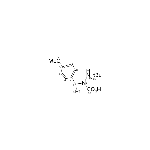 CCC(c1ccc(OC)cc1)N(NC(C)(C)C)C(=O)O